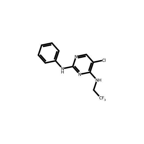 FC(F)(F)CNc1nc(Nc2ccccc2)ncc1Cl